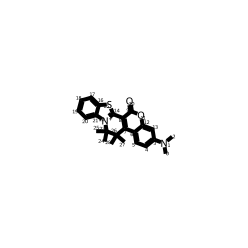 CN(C)c1ccc2c3c(c(=O)oc2c1)-c1sc2ccccc2[n+]1C(C)(C)C3(C)C